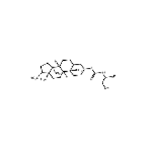 CCCC(CO)NC(=O)OC1CC[C@@]2(C)C(CC[C@@H]3[C@H]2CC[C@]2(C)C(C(=O)O)CC[C@@]32N)C1